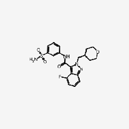 NS(=O)(=O)c1cccc(NC(=O)c2c3c(F)cccc3nn2CC2CCOCC2)c1